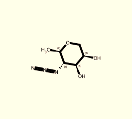 C[C@H]1O[CH][C@@H](O)[C@@H](O)[C@@H]1N=[N+]=[N-]